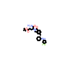 CC(C)(C)OC(=O)CCC(C(N)=O)N1Cc2cc(C[C@H]3CCCC[C@@H]3N[C@@H]3CCC(F)(F)C3)ccc2C1=O